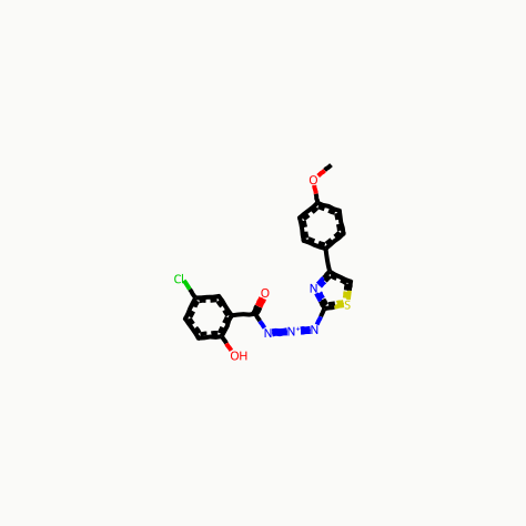 COc1ccc(-c2csc(N=[N+]=NC(=O)c3cc(Cl)ccc3O)n2)cc1